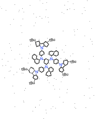 CC(C)(C)C1=CC2c3cc(C(C)(C)C)ccc3N(c3ccc(N(c4cc(N(c5ccc(-n6c7ccc(C(C)(C)C)cc7c7cc(C(C)(C)C)ccc76)cc5)c5cccc6ccccc56)cc(N(c5ccc(-n6c7ccc(C(C)(C)C)cc7c7cc(C(C)(C)C)ccc76)cc5)c5cccc6ccccc56)c4)c4cccc5ccccc45)cc3)C2C=C1